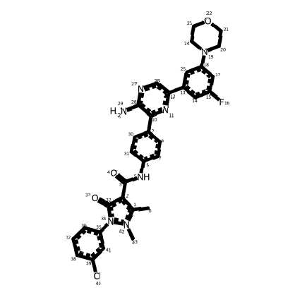 Cc1c(C(=O)Nc2ccc(-c3nc(-c4cc(F)cc(N5CCOCC5)c4)cnc3N)cc2)c(=O)n(-c2cccc(Cl)c2)n1C